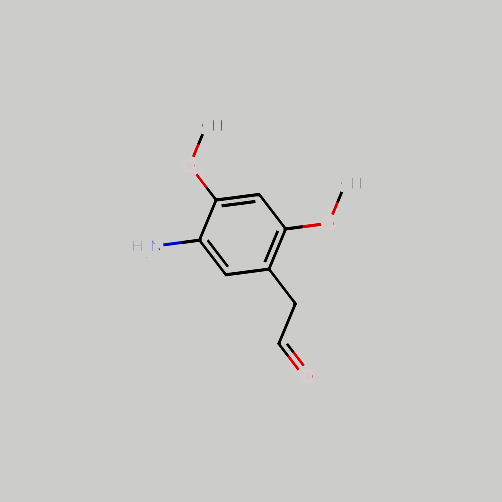 COc1cc(OC)c(CC=O)cc1N